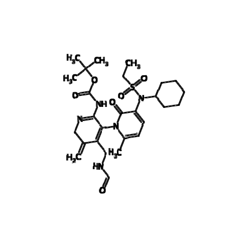 C=C1CN=C(NC(=O)OC(C)(C)C)C(n2c(C)ccc(N(C3CCCCC3)S(=O)(=O)CC)c2=O)=C1CNC=O